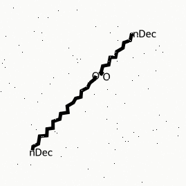 CCCCCCCCCCCCCCCCCCCCCCCCCCCCOC(=O)CCCCCCCCCCCCCCCCCCC